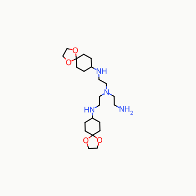 NCCN(CCNC1CCC2(CC1)OCCO2)CCNC1CCC2(CC1)OCCO2